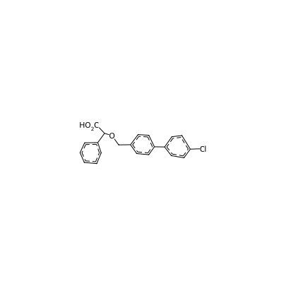 O=C(O)C(OCc1ccc(-c2ccc(Cl)cc2)cc1)c1ccccc1